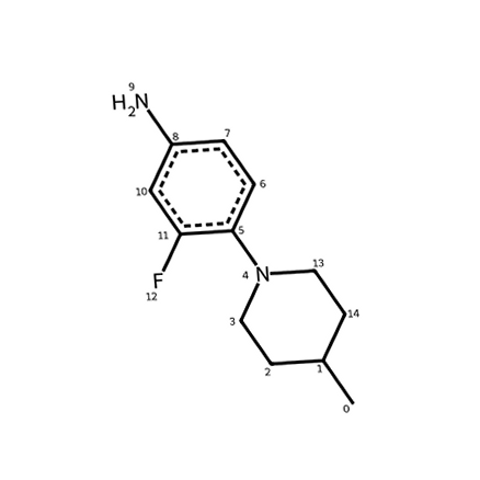 CC1CCN(c2ccc(N)cc2F)CC1